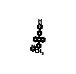 Cc1cccnc1-c1cccc(-c2c3ccccc3c(-c3ccc(C4=CCNC=C4)cc3)c3ccccc23)c1